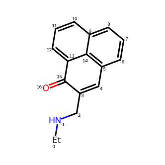 CCNCC1=Cc2cccc3cccc(c23)C1=O